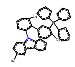 N#Cc1ccc2c(c1)c1ccccc1n2-c1cccc(C#N)c1-c1ccc(C#N)c([Si](c2ccccc2)(c2ccccc2)c2ccccc2)c1